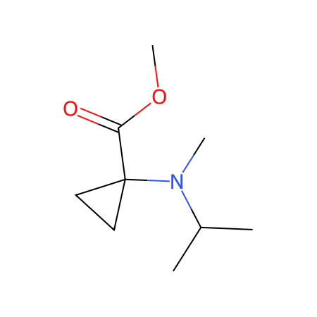 COC(=O)C1(N(C)C(C)C)CC1